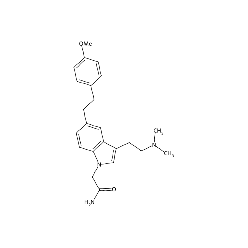 COc1ccc(CCc2ccc3c(c2)c(CCN(C)C)cn3CC(N)=O)cc1